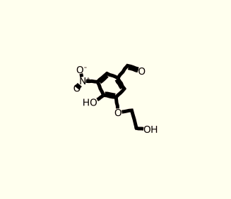 O=Cc1cc(OCCO)c(O)c([N+](=O)[O-])c1